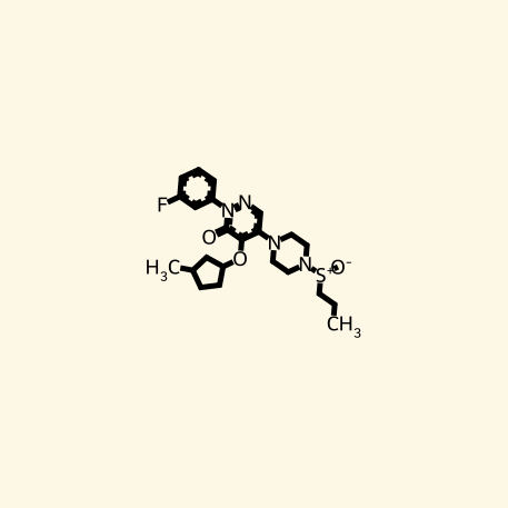 CCC[S+]([O-])N1CCN(c2cnn(-c3cccc(F)c3)c(=O)c2OC2CCC(C)C2)CC1